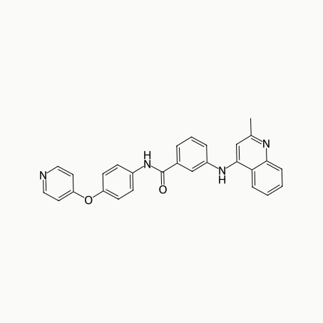 Cc1cc(Nc2cccc(C(=O)Nc3ccc(Oc4ccncc4)cc3)c2)c2ccccc2n1